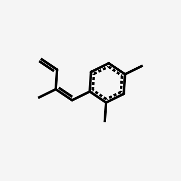 C=C/C(C)=C\c1ccc(C)cc1C